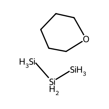 C1CCOCC1.[SiH3][SiH2][SiH3]